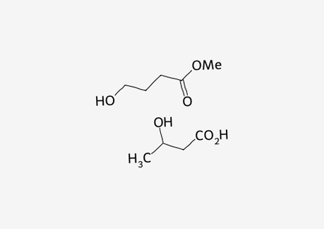 CC(O)CC(=O)O.COC(=O)CCCO